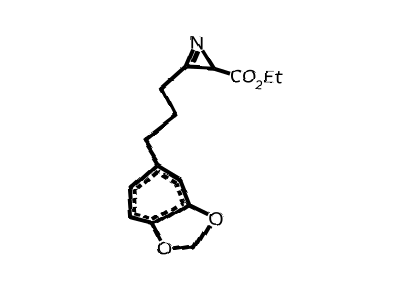 CCOC(=O)C1N=C1CCCc1ccc2c(c1)OCO2